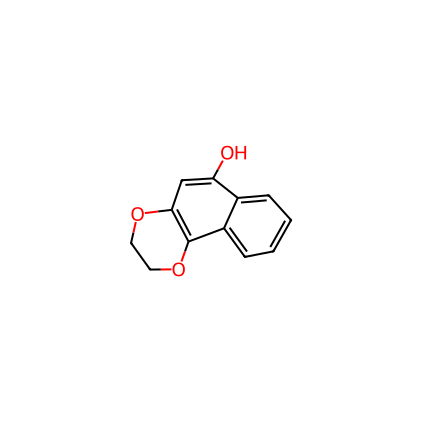 Oc1cc2c(c3ccccc13)OCCO2